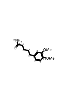 COc1ccc(CCCCC(N)=O)cc1OC